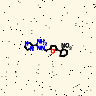 NC(=NN=Cc1ccc(-c2ccccc2[N+](=O)[O-])o1)c1cnccn1